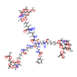 CC(=O)NC1C(OCCCCCC(=O)NCCCNC(=O)CN(CC(=O)NCCCNC(=O)CCCCCOC2OC(COC(C)=O)C(OC(C)=O)C(OC(C)=O)C2NC(C)=O)C(CCCCNC(=O)OCc2ccccc2)C(=O)NCCCNC(=O)CCCCCOC2OC(COC(C)=O)C(OC(C)=O)C(OC(C)=O)C2NC(C)=O)OC(COC(C)=O)C(OC(C)=O)C1OC(C)=O